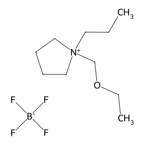 CCC[N+]1(COCC)CCCC1.F[B-](F)(F)F